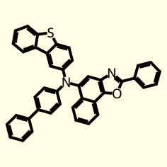 c1ccc(-c2ccc(N(c3ccc4sc5ccccc5c4c3)c3cc4nc(-c5ccccc5)oc4c4ccccc34)cc2)cc1